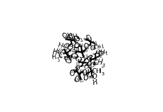 CC(CO)(CO)C(=O)OCC(COCC(COC(=O)C(C)(CO)CO)(COC(=O)C(C)(CO)CO)COC(=O)C1(CO)CO1)(COC(=O)C(C)(CO)CO)COC(=O)C1(CO)CO1